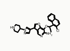 CC(Oc1c(N)ncc2c(-c3cnn(C4CCNCC4)c3)coc12)c1c(Cl)ccc2ccccc12